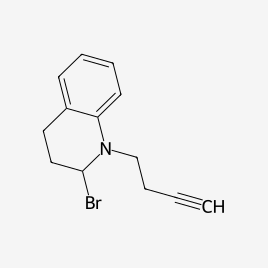 C#CCCN1c2ccccc2CCC1Br